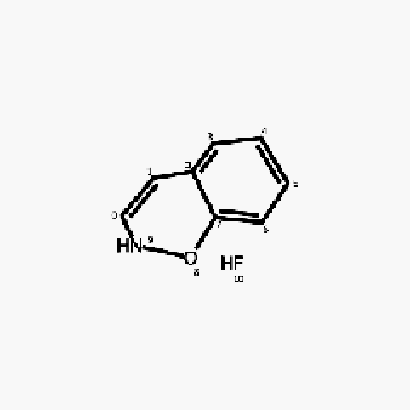 C1=Cc2ccccc2ON1.F